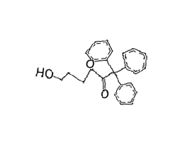 O=C(CCCO)C(=O)C(c1ccccc1)(c1ccccc1)c1ccccc1